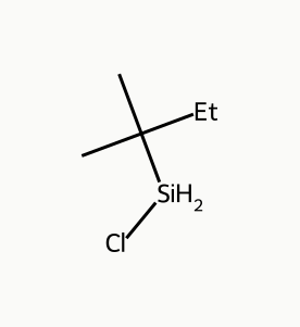 CCC(C)(C)[SiH2]Cl